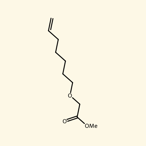 C=CCCCCCOCC(=O)OC